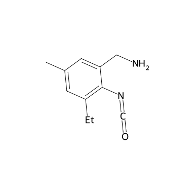 CCc1cc(C)cc(CN)c1N=C=O